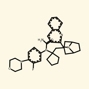 NC(=O)N(c1ccc(N2CCOCC2)c(F)c1)C1(CC2CC3CCC(C2)N3Cc2ccc3ccccc3n2)CCCC1